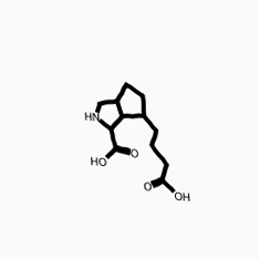 O=C(O)CCCC1CCC2CNC(C(=O)O)C12